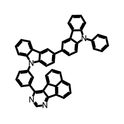 c1ccc(-n2c3ccccc3c3cc(-c4ccc5c(c4)c4ccccc4n5-c4cccc(-c5ncnc6c5-c5cccc7cccc-6c57)c4)ccc32)cc1